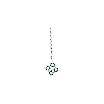 CCCCCCCCCCCCCCCCCC[PH3+].Fc1c(F)c(F)c([B-](c2c(F)c(F)c(F)c(F)c2F)(c2c(F)c(F)c(F)c(F)c2F)c2c(F)c(F)c(F)c(F)c2F)c(F)c1F